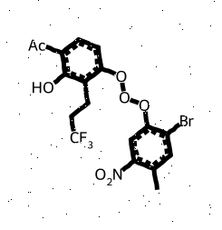 CC(=O)c1ccc(OOOc2cc([N+](=O)[O-])c(C)cc2Br)c(CCC(F)(F)F)c1O